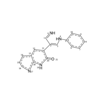 N=C/C(=C\Nc1ccccc1)c1cc2cccnc2[nH]c1=O